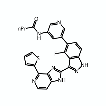 CCCC(=O)Nc1cncc(-c2ccc3[nH]nc(-c4nc5c(-c6cccs6)nccc5[nH]4)c3c2F)c1